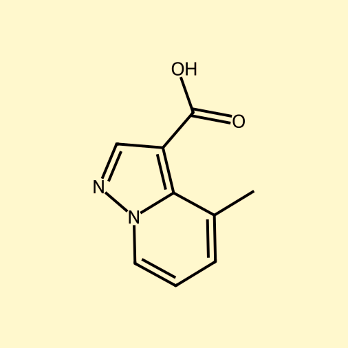 Cc1cccn2ncc(C(=O)O)c12